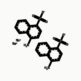 Nc1ccc(S(=O)(=O)[O-])c2ccccc12.Nc1ccc(S(=O)(=O)[O-])c2ccccc12.[Na+].[Na+]